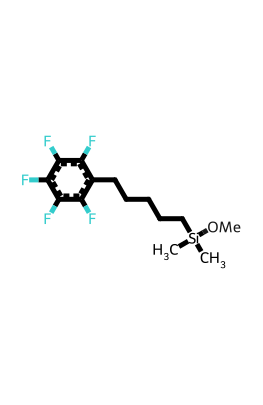 CO[Si](C)(C)CCCCCc1c(F)c(F)c(F)c(F)c1F